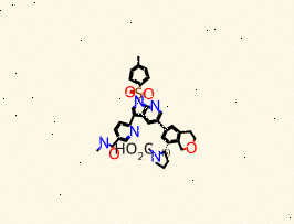 Cc1ccc(S(=O)(=O)n2cc(-c3ccc(C(=O)N(C)C)cn3)c3cc(-c4cc5c(c([C@@H]6CCCN6C(=O)O)c4)COCC5)cnc32)cc1